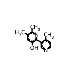 Cc1ccncc1-c1nc(C)c(C)cc1O